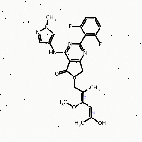 COC(/C=C(\C)O)=C(/C)CN1Cc2nc(-c3c(F)cccc3F)nc(Nc3cnn(C)c3)c2C1=O